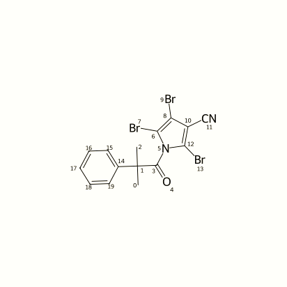 CC(C)(C(=O)n1c(Br)c(Br)c(C#N)c1Br)c1ccccc1